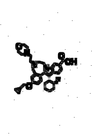 O=C(O)c1ccc2c([C@H]3CCCC[C@@H]3F)c3n(c2c1)CCN(CCN1CCOCC1)Cc1cc(OCC2CC2)ccc1-3